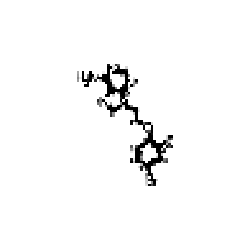 Nc1ncnc2c1ncn2CCOc1ccc(Br)cc1F